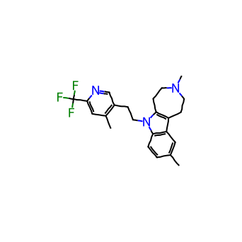 Cc1ccc2c(c1)c1c(n2CCc2cnc(C(F)(F)F)cc2C)CCN(C)CC1